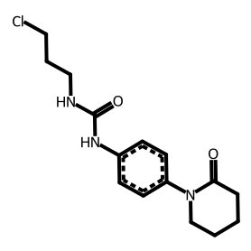 O=C(NCCCCl)Nc1ccc(N2CCCCC2=O)cc1